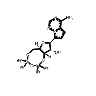 CC(C)[Si]1(C(C)C)OC[C@H]2O[C@@H](c3ccc4c(N)ncnn34)[C@H](O)[C@@H]2O[Si](C(C)C)(C(C)C)O1